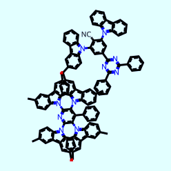 Cc1ccc2c(c1)c1cc(C)ccc1n2-c1nc(-n2c3ccc(C)cc3c3cc(C)ccc32)c(-n2c3ccc(C)cc3c3cc(Cc4ccc5c(c4)c4ccccc4n5-c4cc(-c5nc(-c6ccccc6)nc(-c6ccccc6)n5)cc(-n5c6ccccc6c6ccccc65)c4C#N)ccc32)c(-c2ccccc2)c1-n1c2ccc(C)cc2c2cc(C)ccc21